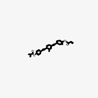 C=CC(=O)Oc1ccc(C#Cc2ccc(C#Cc3ccc(OC(=O)C(=C)C)cc3)c(C)c2)cc1